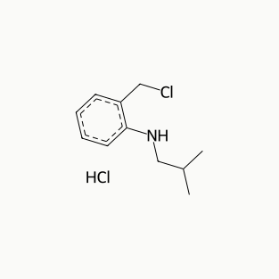 CC(C)CNc1ccccc1CCl.Cl